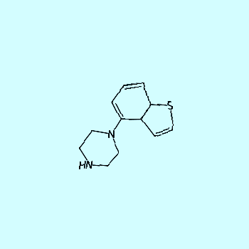 C1=CC2SC=CC2C(N2CCNCC2)=C1